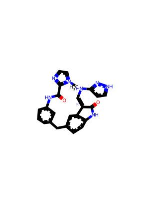 Cn1ccnc1C(=O)Nc1cccc(Cc2ccc3c(c2)/C(=C/Nc2cc[nH]n2)C(=O)N3)c1